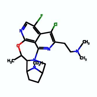 CC1Oc2ncc(F)c3c(Cl)c(CCN(C)C)nc(c23)N2CC3CCC(C12)N3C(=O)O